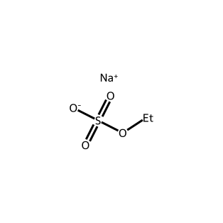 CCOS(=O)(=O)[O-].[Na+]